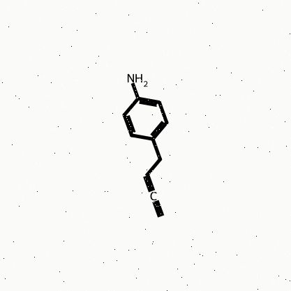 C=C=CCc1ccc(N)cc1